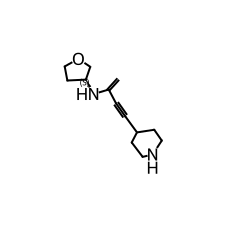 C=C(C#CC1CCNCC1)N[C@H]1CCOC1